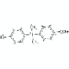 CCc1ccc(C(C)(C)c2ccc(OC)cc2)cc1